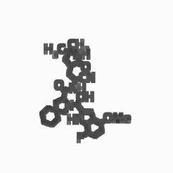 COc1ccc(F)c2[nH]c(C(O)N3CC4(CCCCC4)CC3C(=O)NC(C#N)CC3CC(C)(C)NC3=O)cc12